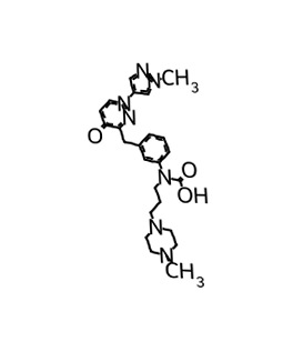 CN1CCN(CCCN(C(=O)O)c2cccc(Cc3nn(-c4cnn(C)c4)ccc3=O)c2)CC1